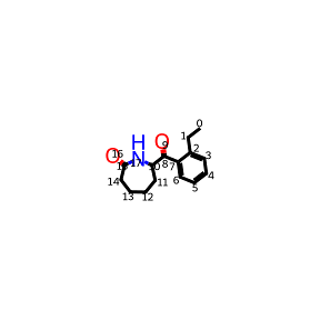 CCc1ccccc1C(=O)C1CCCCC(=O)N1